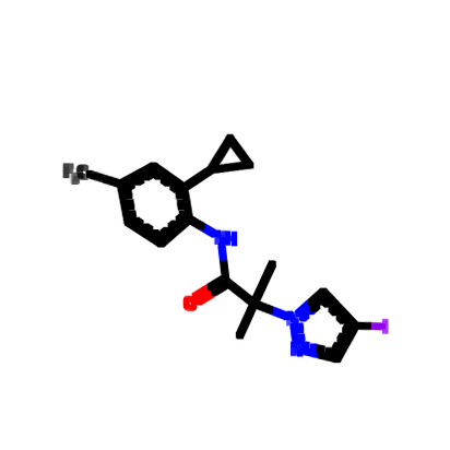 CC(C)(C(=O)Nc1ccc(C(F)(F)F)cc1C1CC1)n1cc(I)cn1